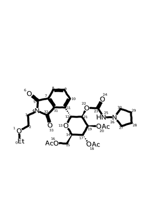 CCOCCN1C(=O)c2cccc([C@H]3O[C@H](COC(C)=O)[C@@H](OC(C)=O)[C@H](OC(C)=O)[C@@H]3OC(=O)NN3CCCC3)c2C1=O